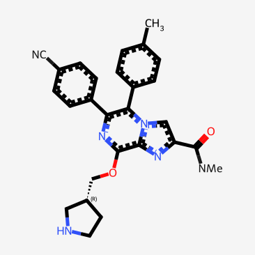 CNC(=O)c1cn2c(-c3ccc(C)cc3)c(-c3ccc(C#N)cc3)nc(OC[C@@H]3CCNC3)c2n1